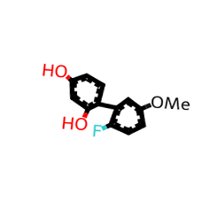 COc1ccc(F)c(-c2ccc(O)cc2O)c1